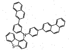 c1cc(-c2ccc3ccccc3c2)cc(N(c2ccc(-c3ccc4c(ccc5ccccc54)c3)cc2)c2cccc3sc4ccccc4c23)c1